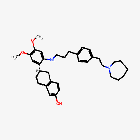 COc1cc(NCCCc2ccc(CCN3CCCCCC3)cc2)c([C@H]2CCc3cc(O)ccc3C2)cc1OC